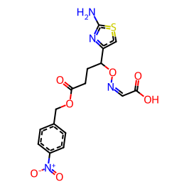 Nc1nc(C(CCC(=O)OCc2ccc([N+](=O)[O-])cc2)O/N=C\C(=O)O)cs1